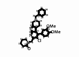 COc1ccc(-c2c(Cl)c(CN3CCCCC3=O)nc3sc4c(c23)CCN(Cc2ccccc2)C4)cc1OC